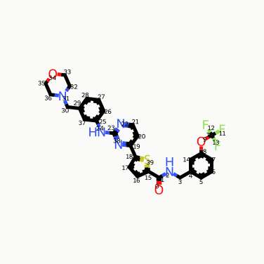 O=C(NCc1cccc(OC(F)(F)F)c1)c1ccc(-c2ccnc(Nc3cccc(CN4CCOCC4)c3)n2)s1